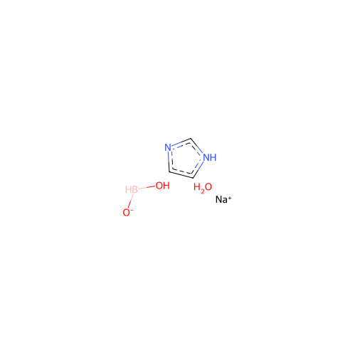 O.[Na+].[O-]BO.c1c[nH]cn1